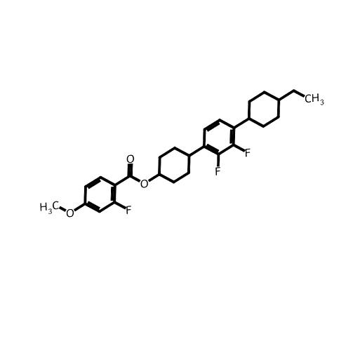 CCC1CCC(c2ccc(C3CCC(OC(=O)c4ccc(OC)cc4F)CC3)c(F)c2F)CC1